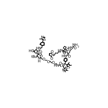 Cc1ncsc1-c1ccc(CNC(=O)[C@@H]2C[C@@H](O)CN2C(=O)[C@@H](NC(=O)COCCOCCOCCNC(=O)C[C@@H]2N=C(c3ccc(NC(=O)[C@H](CCCNC(N)=O)NC(=O)C4(C(=O)NCCCCCN5C(=O)C=CC5=O)CCC4)cc3)c3c(sc(C)c3C)-n3c(C)nnc32)C(C)(C)C)cc1